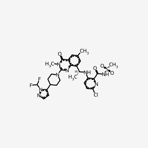 Cc1cc([C@@H](C)Nc2ccc(Cl)nc2C(=O)NS(C)(=O)=O)c2nc(N3CCC(c4ccnn4C(F)F)CC3)n(C)c(=O)c2c1